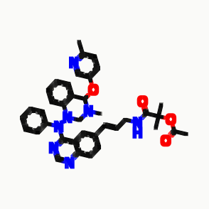 CC(=O)OC(C)(C)C(=O)NCC=Cc1ccc2ncnc(N(c3ccccc3)N3CN(C)C(Oc4ccc(C)nc4)c4ccccc43)c2c1